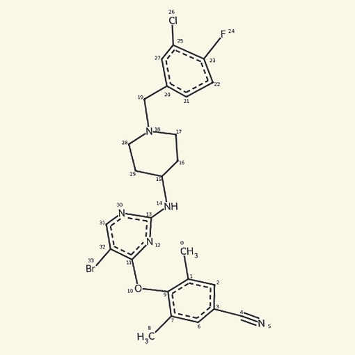 Cc1cc(C#N)cc(C)c1Oc1nc(NC2CCN(Cc3ccc(F)c(Cl)c3)CC2)ncc1Br